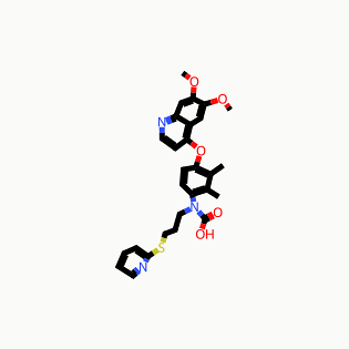 COc1cc2nccc(Oc3ccc(N(CCCSc4ccccn4)C(=O)O)c(C)c3C)c2cc1OC